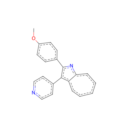 COc1ccc(-c2nc3cccccc-3c2-c2ccncc2)cc1